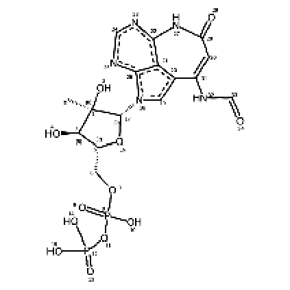 C[C@@]1(O)[C@H](O)[C@@H](COP(=O)(O)OP(=O)(O)O)O[C@H]1n1cc2c3c(ncnc31)NC(=O)C=C2NC=O